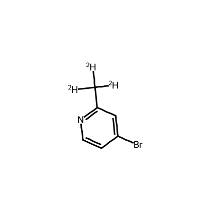 [2H]C([2H])([2H])c1cc(Br)ccn1